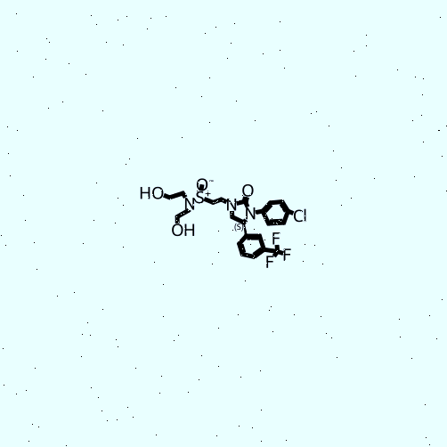 O=C1N(CC[S+]([O-])N(CCO)CCO)C[C@H](c2cccc(C(F)(F)F)c2)N1c1ccc(Cl)cc1